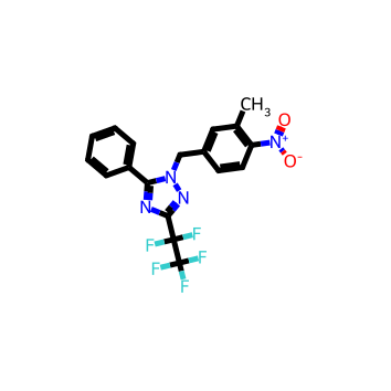 Cc1cc(Cn2nc(C(F)(F)C(F)(F)F)nc2-c2ccccc2)ccc1[N+](=O)[O-]